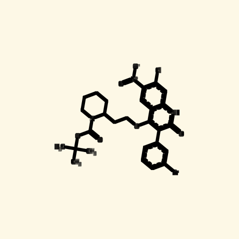 CC(C)(C)OC(=O)N1CCCCC1CCOc1c(-c2cccc(Br)c2)c(=O)[nH]c2cc(Cl)c([N+](=O)[O-])cc12